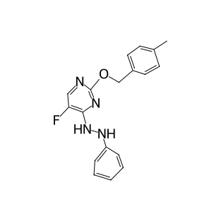 Cc1ccc(COc2ncc(F)c(NNc3ccccc3)n2)cc1